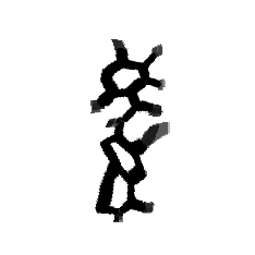 CCC1C(F)=C(C(=O)Nc2cc3cc[nH]c(=O)c3cc2Cl)C(F)=CC1F